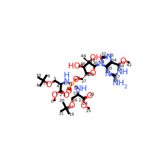 COC(=O)C(COC(C)(C)C)NP(=O)(NC(COC(C)(C)C)C(=O)OC)OC[C@H]1OC(n2cnc3c2N=C(N)NC3OC)[C@@](C)(O)C1O